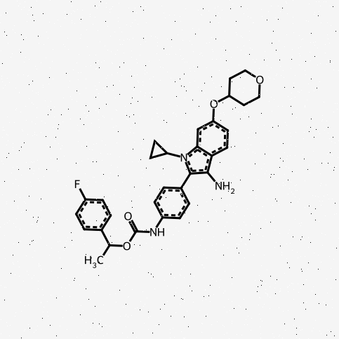 CC(OC(=O)Nc1ccc(-c2c(N)c3ccc(OC4CCOCC4)cc3n2C2CC2)cc1)c1ccc(F)cc1